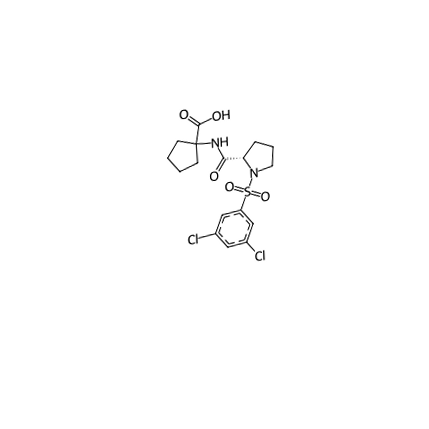 O=C(NC1(C(=O)O)CCCC1)[C@@H]1CCCN1S(=O)(=O)c1cc(Cl)cc(Cl)c1